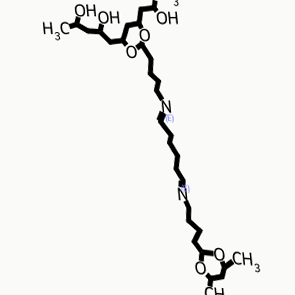 CC(O)CC(O)CC1CC(CC(C)O)OC(CCCC/N=C/CCCC/C=N/CCCCC2OC(C)CC(C)O2)O1